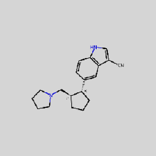 N#Cc1c[nH]c2ccc([C@@H]3CCC[C@H]3CN3CCCC3)cc12